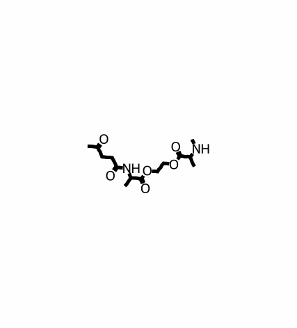 CNC(C)C(=O)OCCOC(=O)C(C)NC(=O)CCC(C)=O